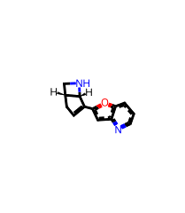 C1=C(c2cc3ncccc3o2)[C@H]2NC[C@H]2C1